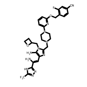 N#Cc1ccc(COc2cccc(N3CCN(Cc4nc(/C=C(\N)c5nnc(C(F)(F)F)[nH]5)c(N)n4CC4CCO4)CC3)n2)c(F)c1